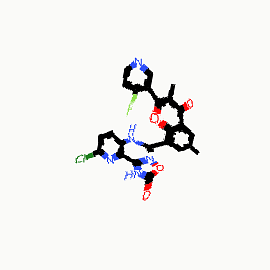 Cc1cc(C(C)Nc2ccc(Cl)nc2-c2noc(=O)[nH]2)c2oc(-c3cnccc3F)c(C)c(=O)c2c1